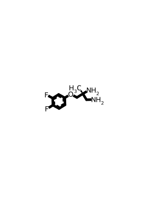 C[C@@](N)(CN)COc1ccc(F)c(F)c1